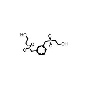 O=S(=O)(CCO)Cc1cccc(CS(=O)(=O)CCO)c1